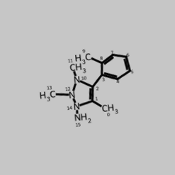 CC1=C(c2ccccc2C)N(C)N(C)N1N